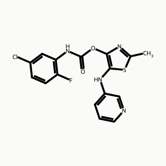 Cc1nc(OC(=O)Nc2cc(Cl)ccc2F)c(Nc2cccnc2)s1